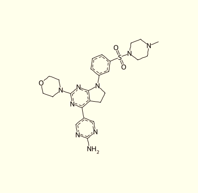 CN1CCN(S(=O)(=O)c2cccc(N3CCc4c(-c5cnc(N)nc5)nc(N5CCOCC5)nc43)c2)CC1